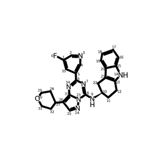 Fc1cncc(-c2nc(N[C@@H]3CCc4[nH]c5ccccc5c4C3)n3ncc(C4CCOCC4)c3n2)c1